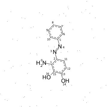 Nc1c(N=Nc2ccccc2)ccc(O)c1O